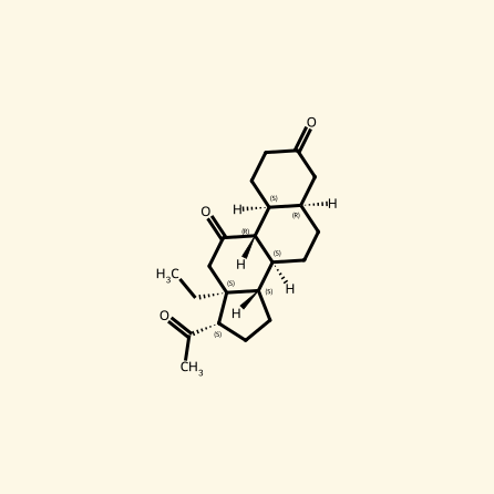 CC[C@]12CC(=O)[C@H]3[C@@H](CC[C@@H]4CC(=O)CC[C@@H]43)[C@@H]1CC[C@@H]2C(C)=O